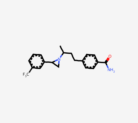 CC(CCc1ccc(C(N)=O)cc1)N1CC1c1cccc(C(F)(F)F)c1